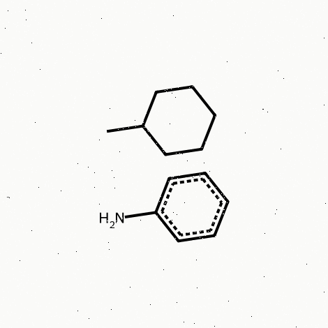 CC1CCCCC1.Nc1ccccc1